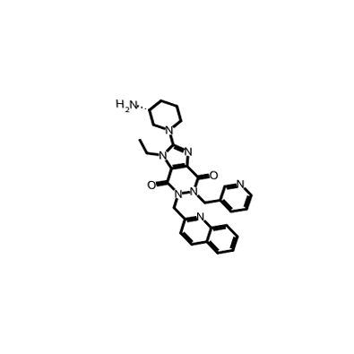 CCn1c(N2CCC[C@@H](N)C2)nc2c(=O)n(Cc3cccnc3)n(Cc3ccc4ccccc4n3)c(=O)c21